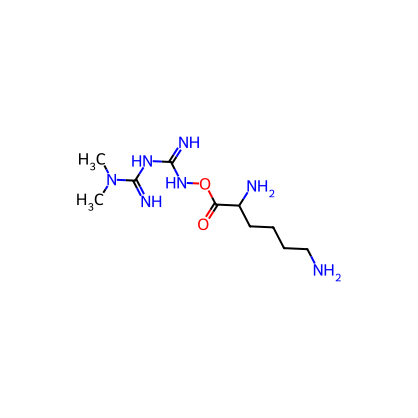 CN(C)C(=N)NC(=N)NOC(=O)C(N)CCCCN